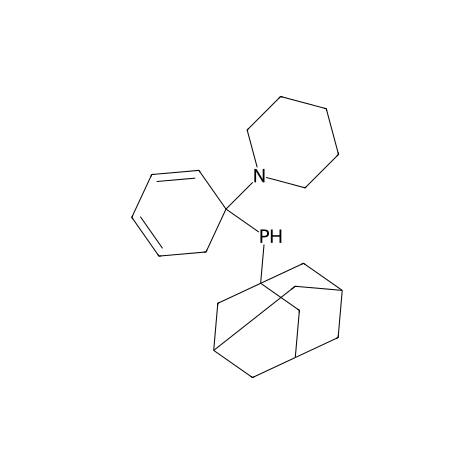 C1=CCC(PC23CC4CC(CC(C4)C2)C3)(N2CCCCC2)C=C1